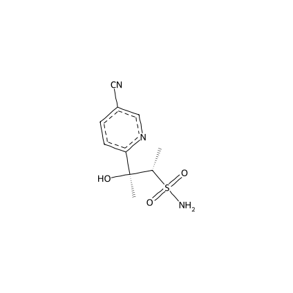 C[C@@H]([C@@](C)(O)c1ccc(C#N)cn1)S(N)(=O)=O